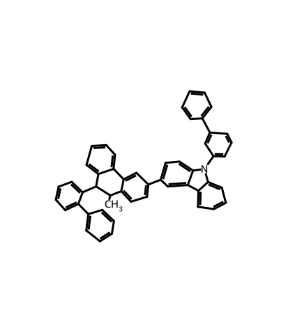 CC1c2ccc(-c3ccc4c(c3)c3ccccc3n4-c3cccc(-c4ccccc4)c3)cc2-c2ccccc2C1c1ccccc1-c1ccccc1